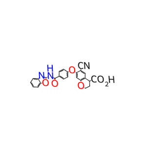 N#Cc1cc2c(cc1Oc1ccc(C(=O)Nc3nc4ccccc4o3)cc1)OCCC2C(=O)O